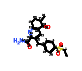 CCS(=O)(=O)c1ccc(Cc2cc3c(nc2C(N)=O)CCC(C)C3=O)cc1